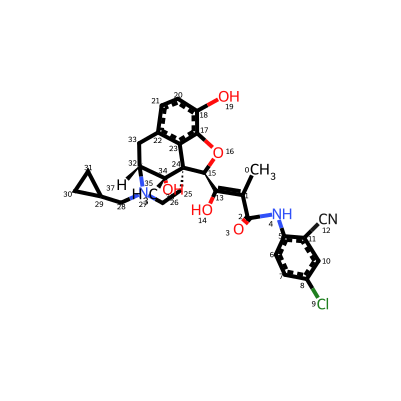 C/C(C(=O)Nc1ccc(Cl)cc1C#N)=C(/O)[C@@H]1Oc2c(O)ccc3c2[C@@]12CCN(CC1CC1)[C@H](C3)[C@@]2(C)O